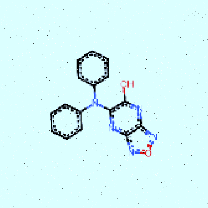 Oc1nc2nonc2nc1N(c1ccccc1)c1ccccc1